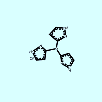 C.c1c[c]([Cr]([c]2cc[nH]n2)[c]2cc[nH]n2)n[nH]1